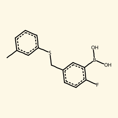 Cc1cccc(SCc2ccc(F)c(B(O)O)c2)c1